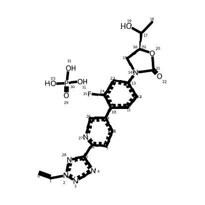 C=Cn1nnc(-c2ccc(-c3ccc(N4C[C@@H](C(C)O)OC4=O)cc3F)cn2)n1.O=P(O)(O)O